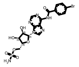 NS(=O)(=O)OC[C@H]1O[C@@H](n2cnc3c(NC(=O)c4ccc(Br)cc4)ncnc32)[C@H](O)[C@@H]1O